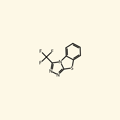 FC(F)(F)c1nnc2sc3ccccc3n12